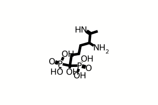 CC(=N)C(N)CCCC(O)(P(=O)(O)O)P(=O)(O)O